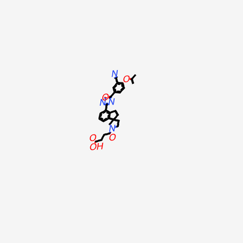 CC(C)Oc1ccc(-c2nc(-c3cccc4c3CCC43CCN(C(=O)CCC(=O)O)C3)no2)cc1C#N